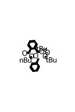 CC(C)(C)OOC(C)(C)C.CCCCOC(=O)c1ccccc1C(=O)OCc1ccccc1